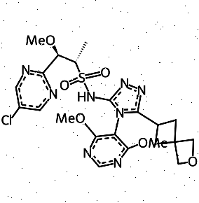 COc1ncnc(OC)c1-n1c(NS(=O)(=O)[C@@H](C)[C@H](OC)c2ncc(Cl)cn2)nnc1C1CC2(COC2)C1